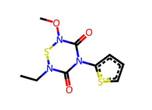 CCN1SN(OC)C(=O)N(c2cccs2)C1=O